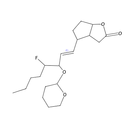 CCCCC(F)C(/C=C/C1CCC2OC(=O)CC12)OC1CCCCO1